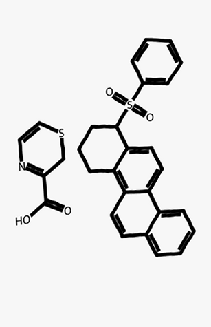 O=C(O)C1=NC=CSC1.O=S(=O)(c1ccccc1)C1CCCc2c1ccc1c2ccc2ccccc21